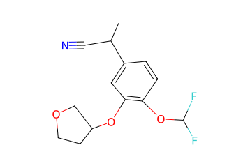 CC(C#N)c1ccc(OC(F)F)c(OC2CCOC2)c1